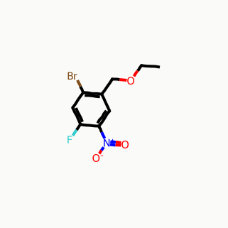 CCOCc1cc([N+](=O)[O-])c(F)cc1Br